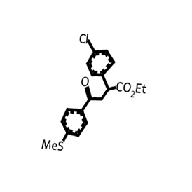 CCOC(=O)C(CC(=O)c1ccc(SC)cc1)c1ccc(Cl)cc1